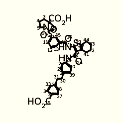 CC1(C(=O)O)CCCN1S(=O)(=O)c1cccc(C(=O)Nc2sc3c(c2C(=O)Nc2ccc(CCc4ccc(C(=O)O)cc4)cc2)CCCC3)c1